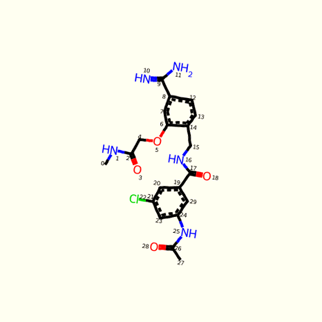 CNC(=O)COc1cc(C(=N)N)ccc1CNC(=O)c1cc(Cl)cc(NC(C)=O)c1